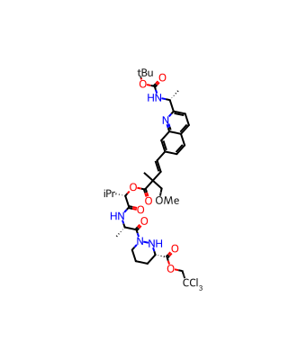 COCC(C)(/C=C/c1ccc2ccc([C@@H](C)NC(=O)OC(C)(C)C)nc2c1)C(=O)O[C@H](C(=O)N[C@@H](C)C(=O)N1CCC[C@@H](C(=O)OCC(Cl)(Cl)Cl)N1)C(C)C